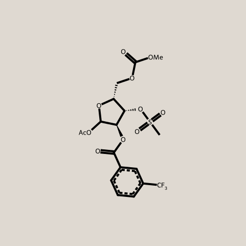 COC(=O)OC[C@H]1OC(OC(C)=O)[C@H](OC(=O)c2cccc(C(F)(F)F)c2)[C@H]1OS(C)(=O)=O